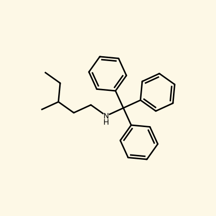 CCC(C)CCNC(c1ccccc1)(c1ccccc1)c1ccccc1